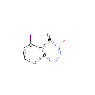 O=c1c2c(I)cccc2nnn1O